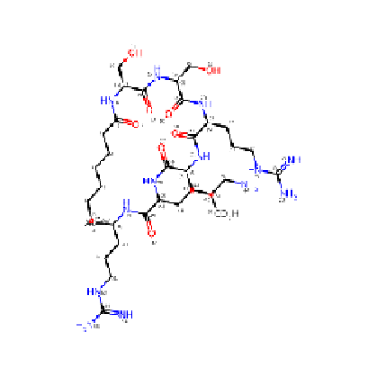 CCCCCCCCCCCCCCCC(=O)N[C@@H](CO)C(=O)N[C@@H](CO)C(=O)N[C@@H](CCCNC(=N)N)C(=O)N[C@@H](CCC(=O)O)C(=O)N[C@@H](CCCCN)C(=O)NC(CCCNC(=N)N)C(C)=O